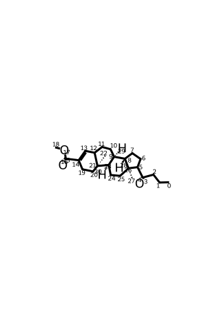 CCCC(=O)C1CC[C@H]2[C@@H]3CCC4C=C(C(=O)OC)CC[C@]4(C)[C@@H]3CC[C@]12C